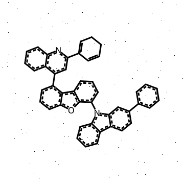 C1=CC(c2cc(-c3cccc4oc5c(-n6c7ccccc7c7ccc(-c8ccccc8)cc76)cccc5c34)c3ccccc3n2)=CCC1